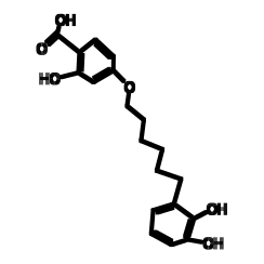 O=C(O)c1ccc(OCCCCCCc2cccc(O)c2O)cc1O